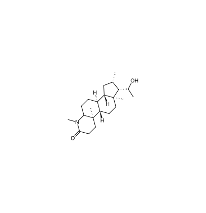 CC(O)[C@H]1[C@@H](C)C[C@H]2[C@@H]3CCC4N(C)C(=O)CC[C@]4(C)[C@H]3CC[C@@]21C